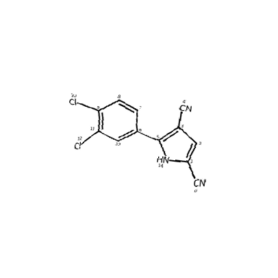 N#Cc1cc(C#N)c(-c2ccc(Cl)c(Cl)c2)[nH]1